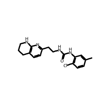 Cc1ccc(Cl)c(NC(=O)NCCc2ccc3c(n2)NCCC3)c1